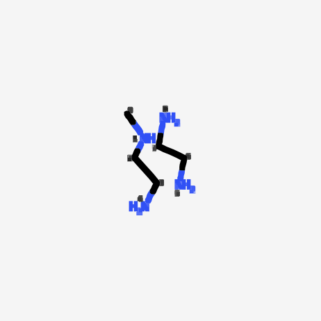 CNCCN.NCCN